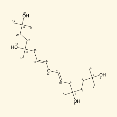 CC(C)(O)CCC(C)(O)CC=COC=CCC(C)(O)CCC(C)(C)O